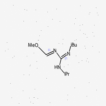 CCC(C)/N=C(\N=C\OC)NC(C)C